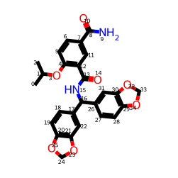 CC(C)Oc1ccc(C(N)=O)cc1C(=O)NC(c1ccc2c(c1)OCO2)c1ccc2c(c1)OCO2